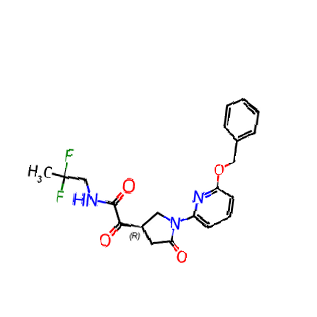 CC(F)(F)CNC(=O)C(=O)[C@@H]1CC(=O)N(c2cccc(OCc3ccccc3)n2)C1